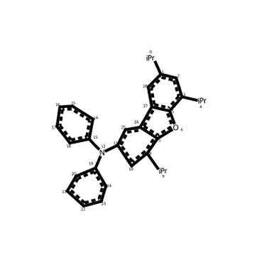 CC(C)c1cc(C(C)C)c2oc3c(C(C)C)cc(N(c4ccccc4)c4ccccc4)cc3c2c1